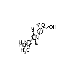 C=C/C(N)=C/C(=C\N)c1cc(C#N)c(N2CCN(C(=O)CCO)C(C3CC3)C2)nc1C1CC1